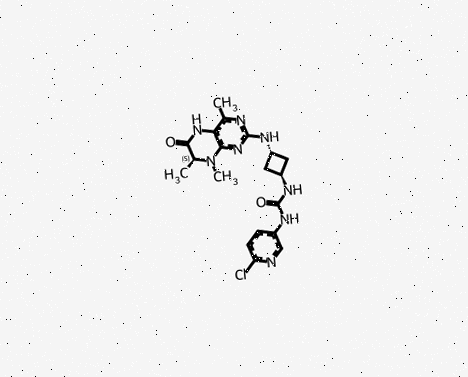 Cc1nc(N[C@H]2C[C@H](NC(=O)Nc3ccc(Cl)nc3)C2)nc2c1NC(=O)[C@H](C)N2C